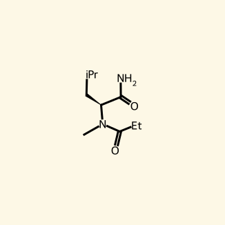 CCC(=O)N(C)[C@@H](CC(C)C)C(N)=O